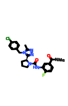 CNC(=O)c1ccc(F)c(NC(=O)N2CCC[C@@H]2c2nnc(C)n2Cc2ccc(Cl)cc2)c1